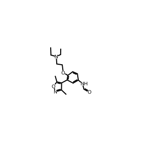 CCN(CC)CCOc1ccc(NC=O)cc1-c1c(C)noc1C